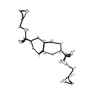 O=C(OCC1CO1)C1CCC2CC(C(=O)OCC3CO3)CCC2C1